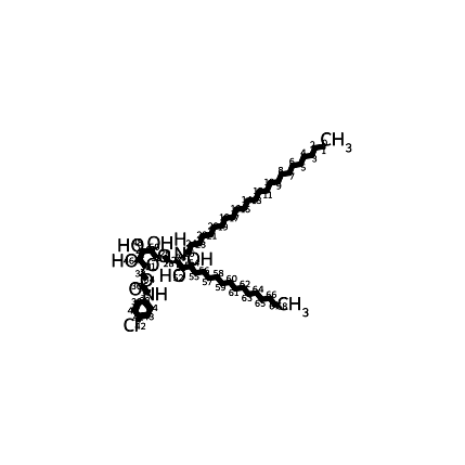 CCCCCCCCCCCCCCCCCCCCCCCCCCN[C@@H](CO[C@@H]1O[C@H](COC(=O)Nc2ccc(Cl)cc2)[C@H](O)[C@H](O)[C@H]1O)[C@H](O)[C@H](O)CCCCCCCCCCCCCC